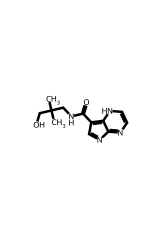 CC(C)(CO)CNC(=O)c1cnc2ncc[nH]c1-2